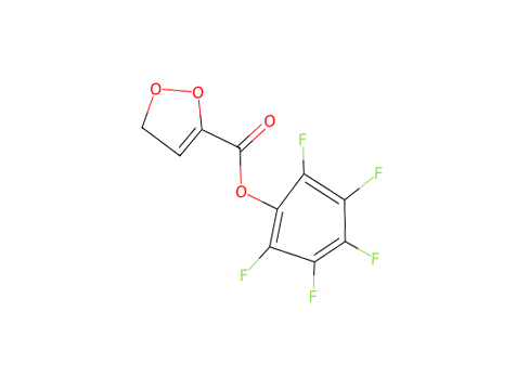 O=C(Oc1c(F)c(F)c(F)c(F)c1F)C1=CCOO1